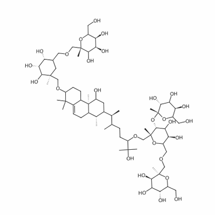 CC(CCC(OC[C@@]1(C)OC(COC[C@@]2(C)OC(CO)[C@H](O)C(O)[C@H]2O)[C@H](O)C(O)[C@H]1O[C@@]1(C)OC(CO)[C@H](O)C(O)[C@H]1O)C(C)(C)O)[C@H](C)C1CC(O)[C@]2(C)C3CCC(OC[C@]4(C)CC(COC[C@]5(C)OC(CO)[C@@H](O)[C@@H](O)C5O)[C@@H](O)[C@@H](O)C4O)C(C)(C)C3=CCC2[C@H]1C